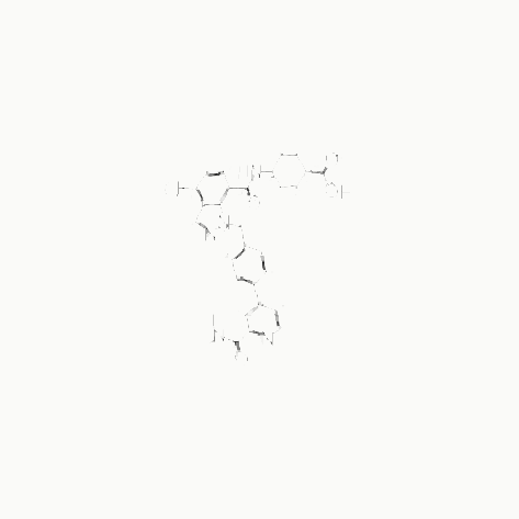 CNC(=O)c1cc(-c2ccc(Cn3ncc4c(Cl)ccc(C(=O)NC5CCC(C(=O)O)CC5)c43)cc2)ccn1